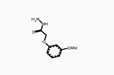 COc1cccc(OCC(=O)NN)c1